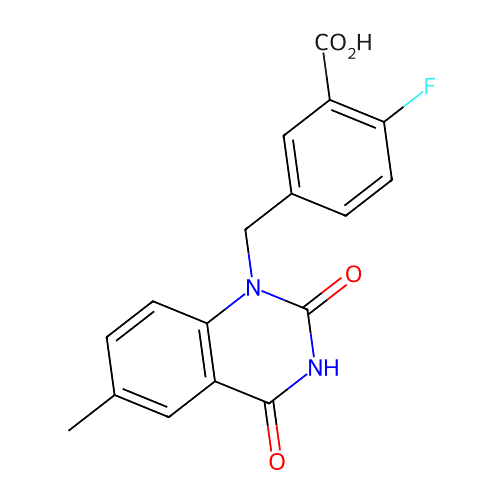 Cc1ccc2c(c1)c(=O)[nH]c(=O)n2Cc1ccc(F)c(C(=O)O)c1